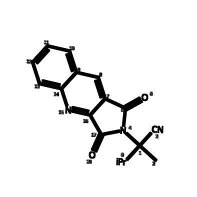 CC(C)C(C)(C#N)N1C(=O)c2cc3ccccc3nc2C1=O